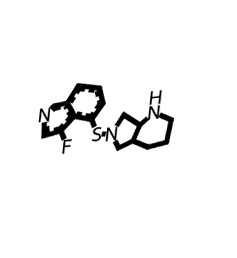 Fc1cncc2cccc(SN3CC4CCCNC4C3)c12